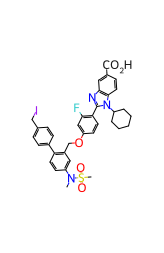 CN(c1ccc(-c2ccc(CI)cc2)c(COc2ccc(-c3nc4cc(C(=O)O)ccc4n3C3CCCCC3)c(F)c2)c1)S(C)(=O)=O